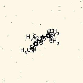 CCOC(C(=O)c1ccc(-c2cc(OC)c(Br)c(OC)c2)o1)c1ccc(-c2nnc(C)s2)cc1